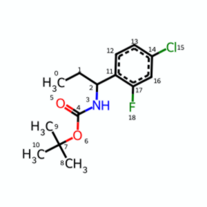 CCC(NC(=O)OC(C)(C)C)c1ccc(Cl)cc1F